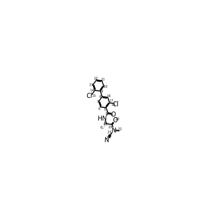 C[C@H](NC(=O)c1ccc(-c2ccccc2Cl)cc1Cl)C(=O)N(C)C#N